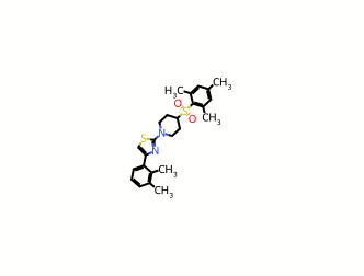 Cc1cc(C)c(S(=O)(=O)C2CCN(c3nc(-c4cccc(C)c4C)cs3)CC2)c(C)c1